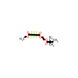 CCOC(=O)C(F)(F)C(F)(F)C(F)(F)C(=O)OCCOC(=O)C(C)(C)CC